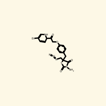 CCC1=CNC(C(=O)COc2ccc(CC3(CN=[N+]=[N-])SC(=O)N(N)C3=O)cc2)C=C1